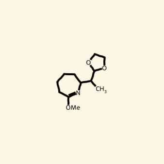 COC1=NC(C(C)C2OCCO2)CCCC1